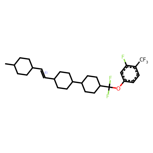 CC1CCC(/C=C/C2CCC(C3CCC(C(F)(F)Oc4ccc(C(F)(F)F)c(F)c4)CC3)CC2)CC1